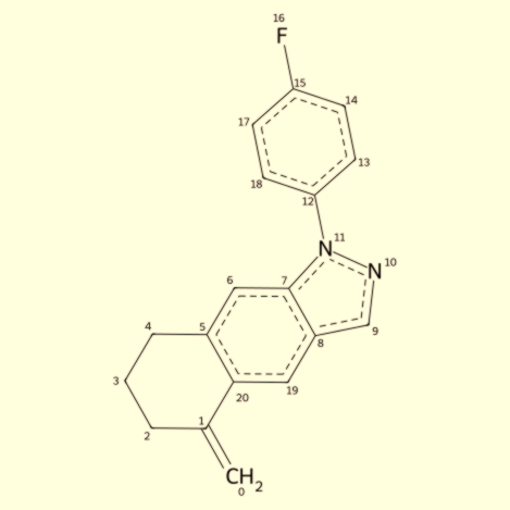 C=C1CCCc2cc3c(cnn3-c3ccc(F)cc3)cc21